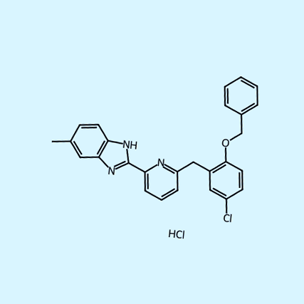 Cc1ccc2[nH]c(-c3cccc(Cc4cc(Cl)ccc4OCc4ccccc4)n3)nc2c1.Cl